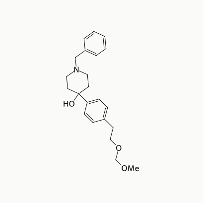 COCOCCc1ccc(C2(O)CCN(Cc3ccccc3)CC2)cc1